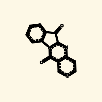 O=C1c2ccccc2-n2c1nc1ccncc1c2=O